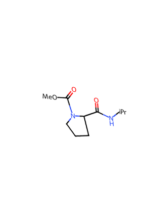 COC(=O)N1CCCC1C(=O)NC(C)C